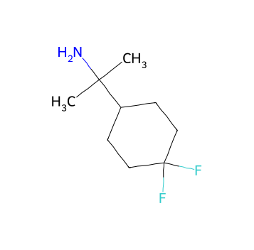 CC(C)(N)C1CCC(F)(F)CC1